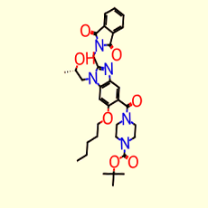 CCCCCOc1cc2c(cc1C(=O)N1CCN(C(=O)OC(C)(C)C)CC1)nc(CN1C(=O)c3ccccc3C1=O)n2C[C@H](C)O